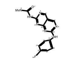 CNC(=O)Nc1ncc2cnc(Nc3ccc(F)cc3)nc2n1